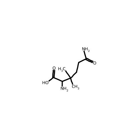 CC(C)(CCC(N)=O)C(N)C(=O)O